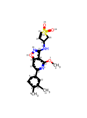 COc1nc(-c2ccc(C)c(C)c2)cc2onc(NC3C=CS(=O)(=O)C3)c12